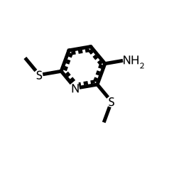 CSc1ccc(N)c(SC)n1